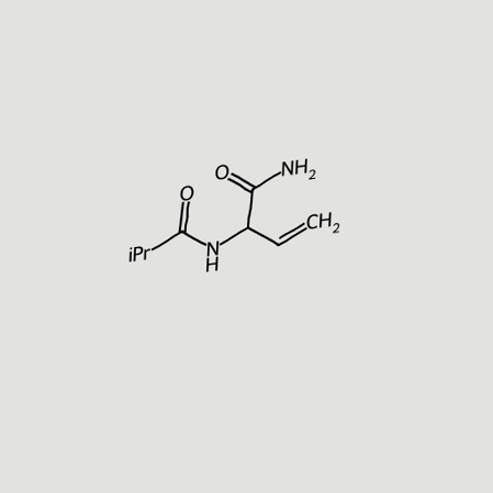 C=CC(NC(=O)C(C)C)C(N)=O